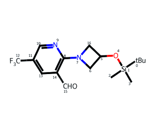 CC(C)(C)[Si](C)(C)OC1CN(c2ncc(C(F)(F)F)cc2C=O)C1